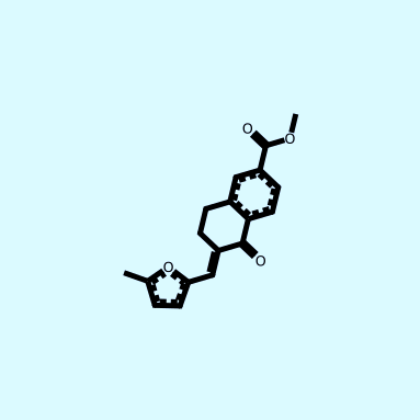 COC(=O)c1ccc2c(c1)CCC(=Cc1ccc(C)o1)C2=O